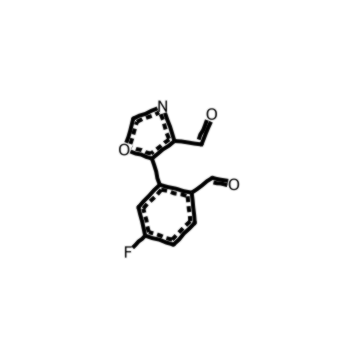 O=Cc1ccc(F)cc1-c1ocnc1C=O